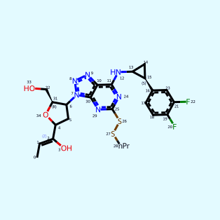 C/C=C(\O)C1CC(n2nnc3c(NC4C[C@H]4c4ccc(F)c(F)c4)nc(SSCCC)nc32)[C@H](CO)O1